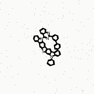 c1ccc(-c2cccc(-c3nc(-n4c5ccccc5c5cc6sc7cc8c(cc7c6cc54)c4ccccc4n8-c4ccccc4)c4ccccc4n3)c2)cc1